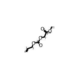 C=CCOC(=O)OCC(=O)OC